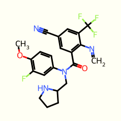 C=Nc1c(C(=O)N(CC2CCCN2)c2ccc(OC)c(F)c2)cc(C#N)cc1C(F)(F)F